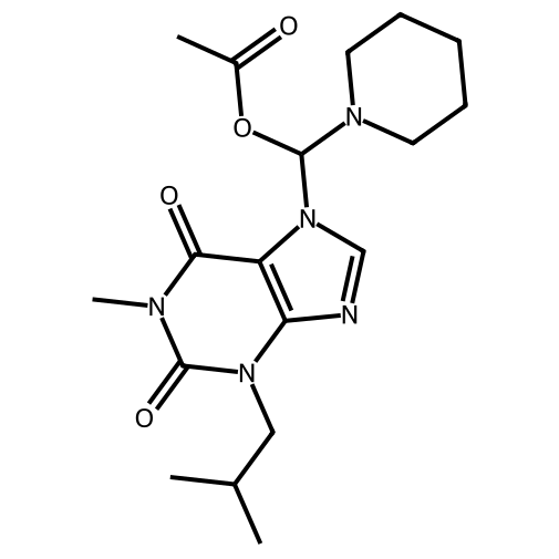 CC(=O)OC(N1CCCCC1)n1cnc2c1c(=O)n(C)c(=O)n2CC(C)C